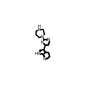 c1cnc2[nH]cc(-c3ccnc(N4CCCNCC4)n3)c2c1